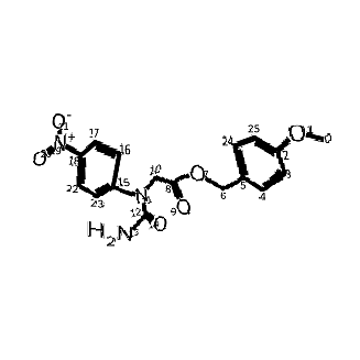 COc1ccc(COC(=O)CN(C(N)=O)c2ccc([N+](=O)[O-])cc2)cc1